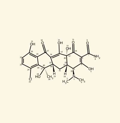 CN(C)[C@@H]1C(O)=C(C(N)=O)C(=O)[C@]2(O)C(O)=C3C(=O)c4c(O)ccc(Cl)c4[C@](C)(O)[C@H]3C[C@@H]12